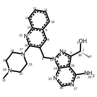 C[C@@H](O)c1nn(Cc2cc3ccccc3nc2N2CCN(C)CC2)c2ncnc(N)c12